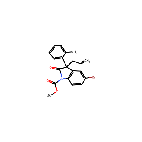 C=CCC1(c2ccccc2C)C(=O)N(C(=O)OC(C)(C)C)c2ccc(Br)cc21